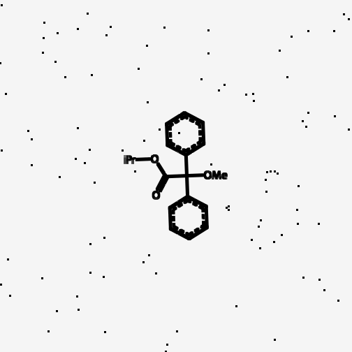 COC(C(=O)OC(C)C)(c1ccccc1)c1ccccc1